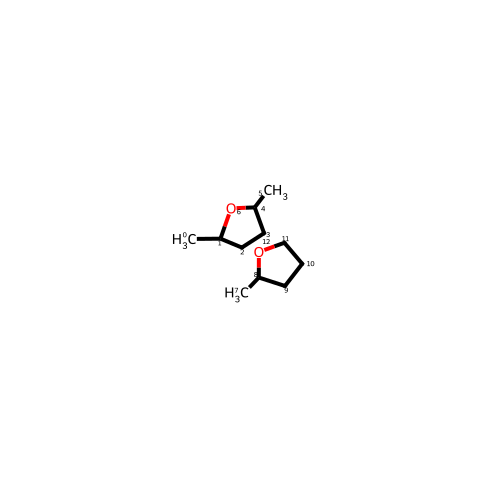 CC1CCC(C)O1.CC1CCCO1